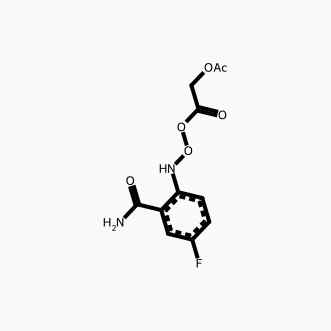 CC(=O)OCC(=O)OONc1ccc(F)cc1C(N)=O